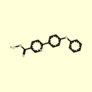 COC(=O)c1ccc(-c2ccc(Oc3ccccc3)cc2)nc1